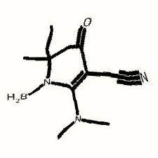 BN1C(N(C)C)=C(C#N)C(=O)C1(C)C